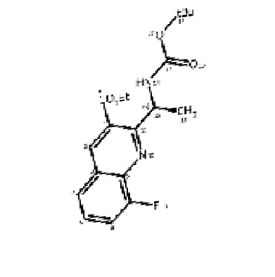 CCOC(=O)c1cc2cccc(F)c2nc1[C@H](C)NC(=O)OC(C)(C)C